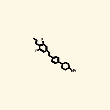 C/C=C/c1c(F)cc(CCc2ccc(C3CCC(CCC)CC3)cc2)cc1F